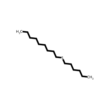 CCCCCCCCCSCCCCCC